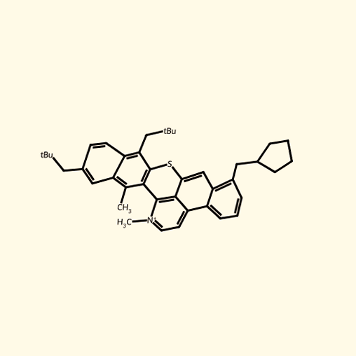 Cc1c2c(c(CC(C)(C)C)c3ccc(CC(C)(C)C)cc13)Sc1cc3c(CC4CCCC4)cccc3c3cc[n+](C)c-2c13